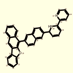 C1=CC(c2ccc3cc(-c4c5ccccc5cc5c4oc4ccccc45)ccc3c2)NC(c2ccccn2)=C1